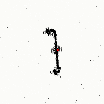 CN1Cc2c(Cl)cc(Cl)cc2[C@H](c2cccc(-c3cn(CCOCCOCCOCCOCCNC(=O)[C@@H](O)[C@H](O)[C@H](O)[C@@H](O)C(=O)NCCOCCOCCOCCOCCn4cc(-c5cccc([C@@H]6CN(C)Cc7c(Cl)cc(Cl)cc76)c5)nn4)nn3)c2)C1.Cl